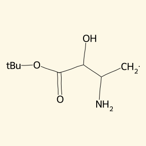 [CH2]C(N)C(O)C(=O)OC(C)(C)C